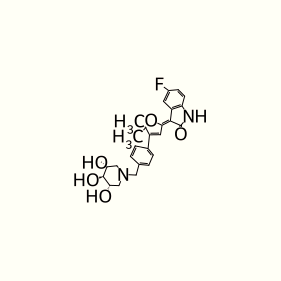 CC1(C)O/C(=C2/C(=O)Nc3ccc(F)cc32)C=C1c1ccc(CN2C[C@@H](O)[C@H](O)[C@@H](O)C2)cc1